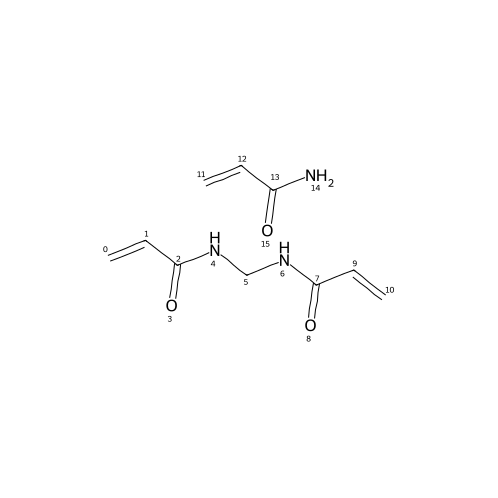 C=CC(=O)NCNC(=O)C=C.C=CC(N)=O